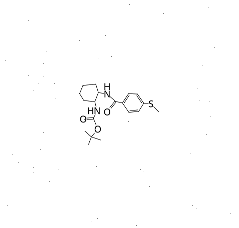 CSc1ccc(C(=O)NC2CCCCC2NC(=O)OC(C)(C)C)cc1